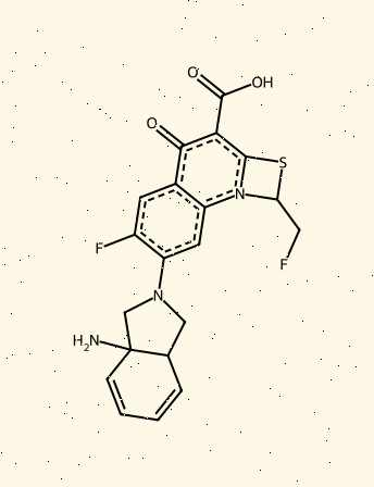 NC12C=CC=CC1CN(c1cc3c(cc1F)c(=O)c(C(=O)O)c1n3C(CF)S1)C2